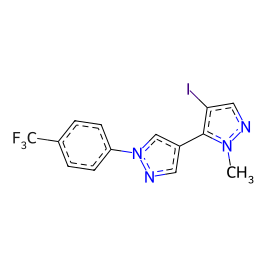 Cn1ncc(I)c1-c1cnn(-c2ccc(C(F)(F)F)cc2)c1